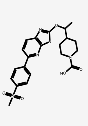 CC(Oc1nc2ccc(-c3ccc(S(C)(=O)=O)cc3)nc2s1)C1CCN(C(=O)O)CC1